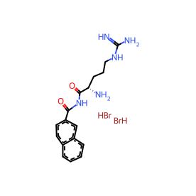 Br.Br.N=C(N)NCCC[C@H](N)C(=O)NC(=O)c1ccc2ccccc2c1